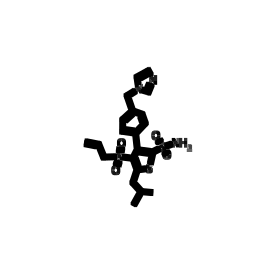 C=CCS(=O)(=O)c1c(CC(C)C)sc(S(N)(=O)=O)c1-c1ccc(Cn2ccnc2)cc1